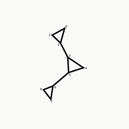 C1CC1[C]1CC1C1CC1